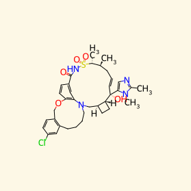 Cc1ncc([C@]2(O)/C=C/C[C@H](C)[C@@H](C)S(=O)(=O)NC(=O)c3ccc4c(c3)N(CCCCc3cc(Cl)ccc3CO4)C[C@@H]3CC[C@H]32)n1C